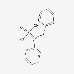 O=S(O)(O)=S(Cc1ccccc1)c1ccccc1